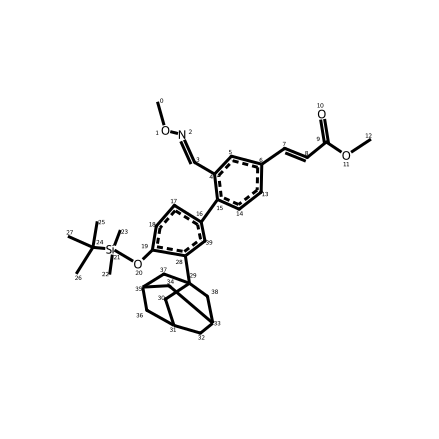 CON=Cc1cc(C=CC(=O)OC)ccc1-c1ccc(O[Si](C)(C)C(C)(C)C)c(C23CC4CC(CC(C4)C2)C3)c1